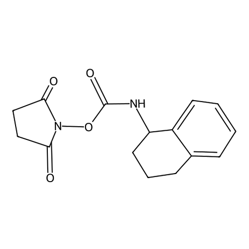 O=C(NC1CCCc2ccccc21)ON1C(=O)CCC1=O